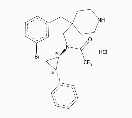 Cl.O=C(N(CC1(Cc2cccc(Br)c2)CCNCC1)[C@@H]1C[C@H]1c1ccccc1)C(F)(F)F